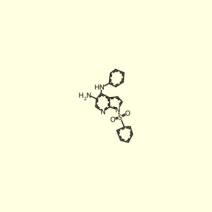 Nc1cnc2c(ccn2S(=O)(=O)c2ccccc2)c1Nc1ccccc1